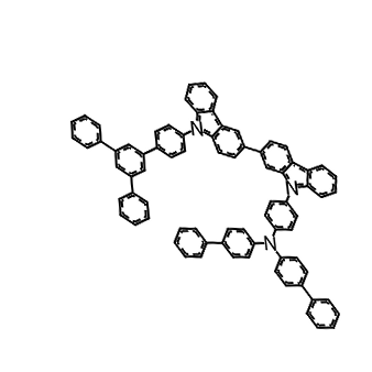 c1ccc(-c2ccc(N(c3ccc(-c4ccccc4)cc3)c3ccc(-n4c5ccccc5c5ccc(-c6ccc7c(c6)c6ccccc6n7-c6ccc(-c7cc(-c8ccccc8)cc(-c8ccccc8)c7)cc6)cc54)cc3)cc2)cc1